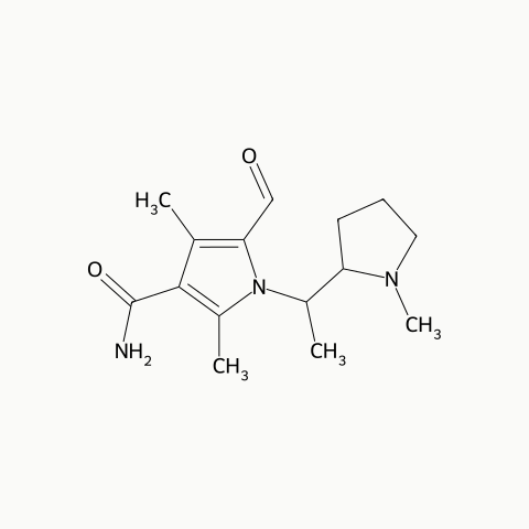 Cc1c(C(N)=O)c(C)n(C(C)C2CCCN2C)c1C=O